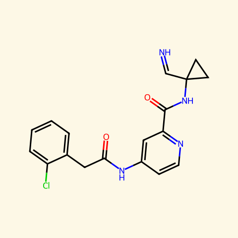 N=CC1(NC(=O)c2cc(NC(=O)Cc3ccccc3Cl)ccn2)CC1